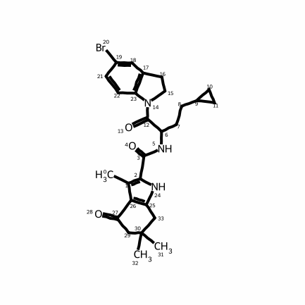 Cc1c(C(=O)NC(CCC2CC2)C(=O)N2CCc3cc(Br)ccc32)[nH]c2c1C(=O)CC(C)(C)C2